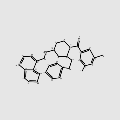 Cc1cc(C)cc(C(=O)N2CCC(NCc3ccnc4ccccc34)CC2CCc2ccccc2)c1